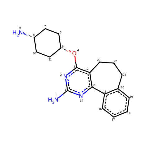 Nc1nc(O[C@H]2CC[C@@H](N)CC2)c2c(n1)-c1ccccc1CCC2